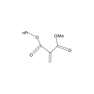 C=C(C(=O)OC)C(=O)OCCC